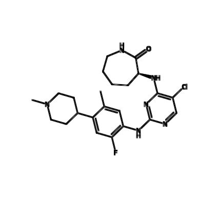 Cc1cc(Nc2ncc(Cl)c(N[C@H]3CCCCNC3=O)n2)c(F)cc1C1CCN(C)CC1